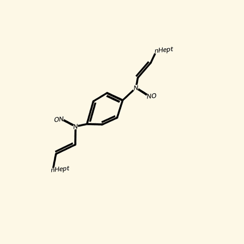 CCCCCCC/C=C/N(N=O)c1ccc(N(/C=C/CCCCCCC)N=O)cc1